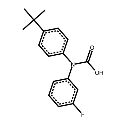 CC(C)(C)c1ccc(N(C(=O)O)c2cccc(F)c2)cc1